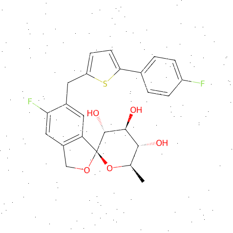 C[C@H]1O[C@]2(OCc3cc(F)c(Cc4ccc(-c5ccc(F)cc5)s4)cc32)[C@H](O)[C@@H](O)[C@@H]1O